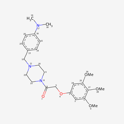 COc1cc(OCC(=O)N2CCN(Cc3ccc(N(C)C)cc3)CC2)cc(OC)c1OC